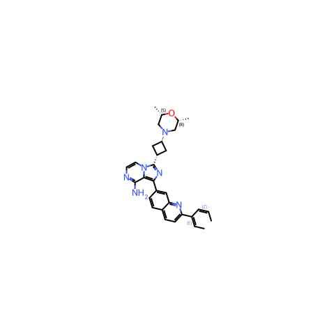 C/C=C\C(=C/C)c1ccc2ccc(-c3nc([C@H]4C[C@@H](N5C[C@@H](C)O[C@@H](C)C5)C4)n4ccnc(N)c34)cc2n1